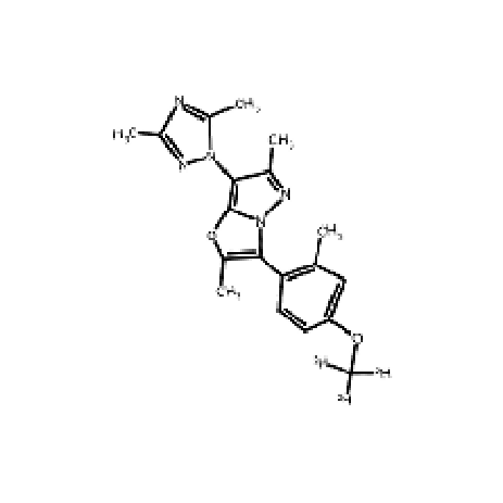 [2H]C([2H])([2H])Oc1ccc(-c2c(C)oc3c(-n4nc(C)nc4C)c(C)nn23)c(C)c1